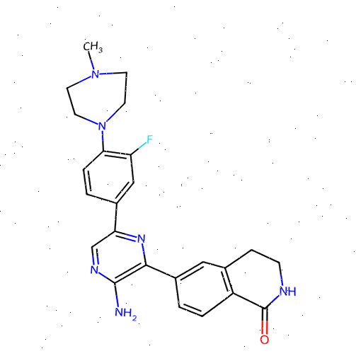 CN1CCN(c2ccc(-c3cnc(N)c(-c4ccc5c(c4)CCNC5=O)n3)cc2F)CC1